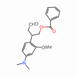 COc1cc(N(C)C)ccc1C(CC=O)COC(=O)c1ccccc1